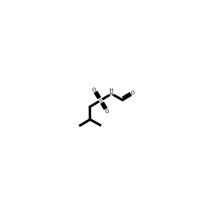 CC(C)CS(=O)(=O)NC=O